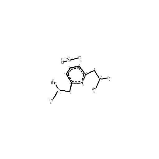 CC(C)P(Cc1cccc(CP(C(C)C)C(C)C)n1)C(C)C.[Cl][Ru][Cl]